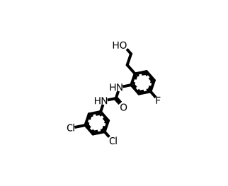 O=C(Nc1cc(Cl)cc(Cl)c1)Nc1cc(F)ccc1CCO